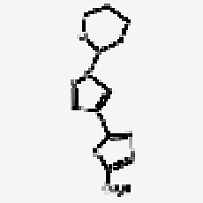 O=C(O)c1ccc(-c2cnn(C3CCCCO3)c2)s1